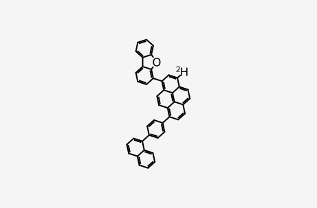 [2H]c1cc(-c2cccc3c2oc2ccccc23)c2ccc3c(-c4ccc(-c5cccc6ccccc56)cc4)ccc4ccc1c2c43